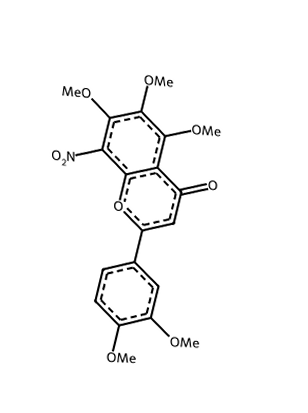 COc1ccc(-c2cc(=O)c3c(OC)c(OC)c(OC)c([N+](=O)[O-])c3o2)cc1OC